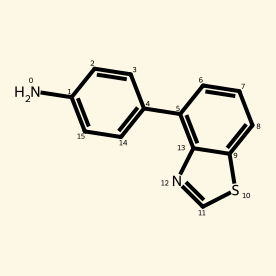 Nc1ccc(-c2cccc3scnc23)cc1